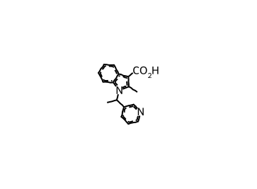 Cc1c(C(=O)O)c2ccccc2n1C(C)c1cccnc1